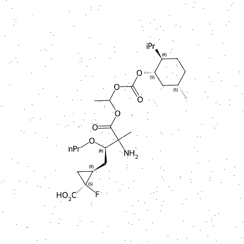 CCCO[C@H](C[C@@H]1C[C@@]1(F)C(=O)O)C(C)(N)C(=O)OC(C)OC(=O)O[C@H]1C[C@@H](C)CC[C@@H]1C(C)C